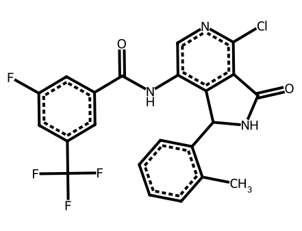 Cc1ccccc1C1NC(=O)c2c(Cl)ncc(NC(=O)c3cc(F)cc(C(F)(F)F)c3)c21